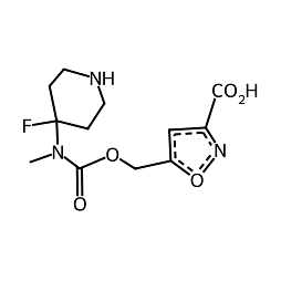 CN(C(=O)OCc1cc(C(=O)O)no1)C1(F)CCNCC1